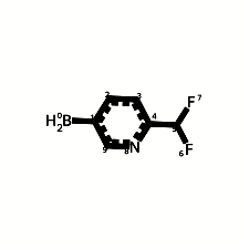 Bc1ccc(C(F)F)nc1